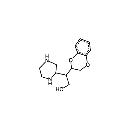 OCC(C1CNCCN1)C1COc2ccccc2O1